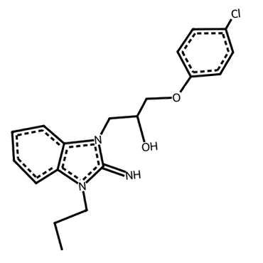 CCCn1c(=N)n(CC(O)COc2ccc(Cl)cc2)c2ccccc21